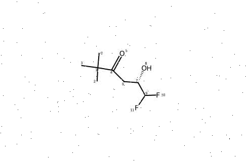 CC(C)(C)C(=O)C[C@H](O)C(F)F